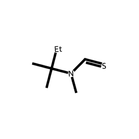 CCC(C)(C)N(C)C=S